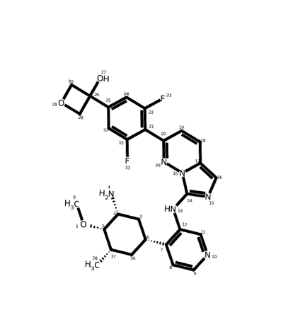 CO[C@@H]1[C@H](N)C[C@H](c2ccncc2Nc2ncc3ccc(-c4c(F)cc(C5(O)COC5)cc4F)nn23)C[C@@H]1C